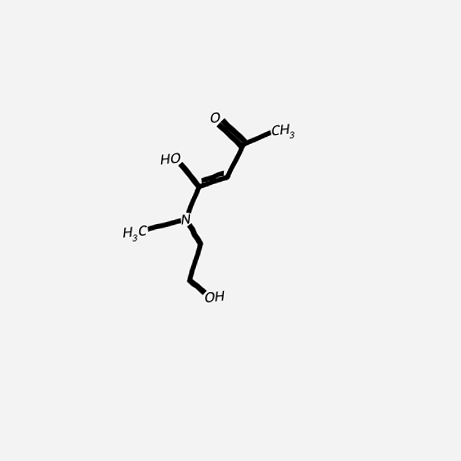 CC(=O)/C=C(\O)N(C)CCO